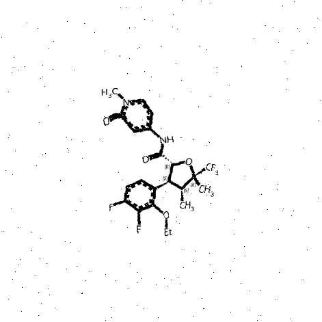 CCOc1c([C@H]2[C@H](C(=O)Nc3ccn(C)c(=O)c3)O[C@@](C)(C(F)(F)F)[C@H]2C)ccc(F)c1F